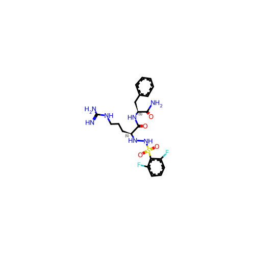 N=C(N)NCCC[C@H](NNS(=O)(=O)c1c(F)cccc1F)C(=O)N[C@@H](Cc1ccccc1)C(N)=O